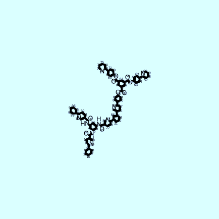 O=C(Nc1cc(NC(=O)c2ccc(-c3ccccc3)nc2)cc(NC(=O)c2ccc(-c3cccc(-c4ccc(-c5ccc(OC(=O)c6cc(C(=O)Oc7ccc(-c8ccccn8)cc7)cc(C(=O)Oc7ccc(-c8ccccn8)cc7)c6)cc5)nc4)c3)nc2)c1)c1ccc(-c2ccccc2)nc1